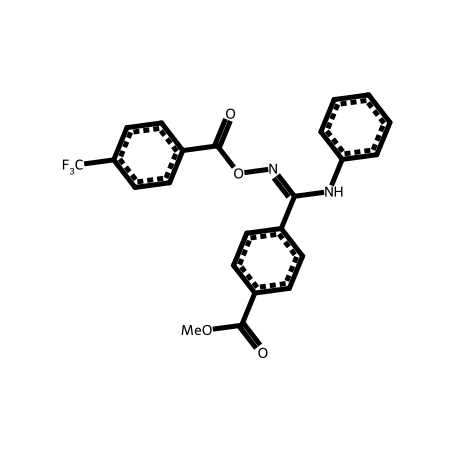 COC(=O)c1ccc(/C(=N\OC(=O)c2ccc(C(F)(F)F)cc2)Nc2ccccc2)cc1